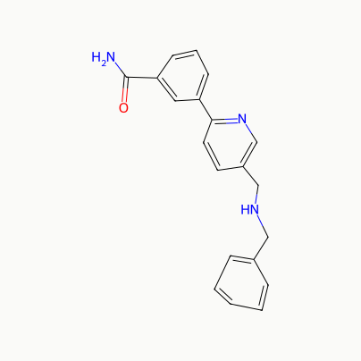 NC(=O)c1cccc(-c2ccc(CNCc3ccccc3)cn2)c1